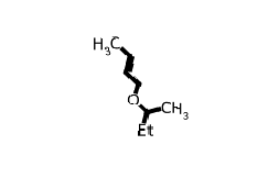 [CH2]CC(C)OCC=CC